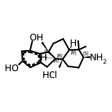 CC1(C)[C@@H](N)CC[C@]2(C)[C@H]3Cc4cc(O)cc(O)c4[C@]3(C)CC[C@@H]12.Cl